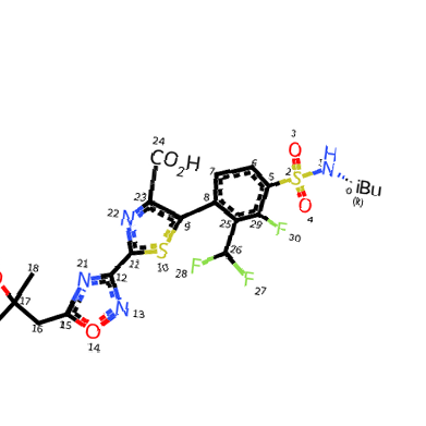 CC[C@@H](C)NS(=O)(=O)c1ccc(-c2sc(-c3noc(CC(C)(C)O)n3)nc2C(=O)O)c(C(F)F)c1F